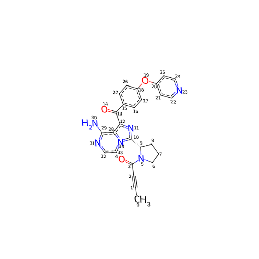 CC#CC(=O)N1CCC[C@H]1c1nc(C(=O)c2ccc(Oc3ccncc3)cc2)c2c(N)nccn12